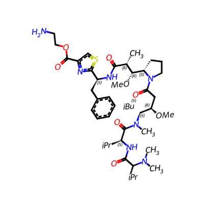 CC[C@H](C)[C@@H]([C@@H](CC(=O)N1CCC[C@H]1[C@H](OC)[C@@H](C)C(=O)N[C@@H](Cc1ccccc1)c1nc(C(=O)OCCN)cs1)OC)N(C)C(=O)[C@@H](NC(=O)C(C(C)C)N(C)C)C(C)C